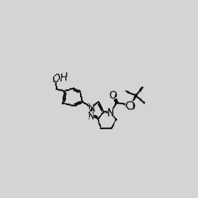 CC(C)(C)OC(=O)N1CCCc2nn(-c3ccc(CO)cc3)cc21